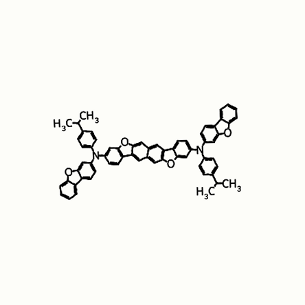 CC(C)c1ccc(N(c2ccc3c(c2)oc2ccccc23)c2ccc3c(c2)oc2cc4cc5c(cc4cc23)oc2cc(N(c3ccc(C(C)C)cc3)c3ccc4c(c3)oc3ccccc34)ccc25)cc1